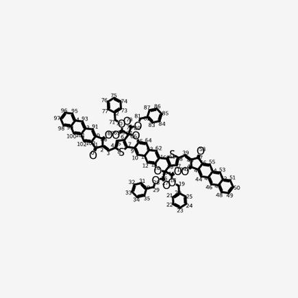 O=C1C(=Cc2cc3c(s2)C2=CC4C=C5OC(C(=O)OCc6ccccc6)(C(=O)OCc6ccccc6)c6cc(C=C7C(=O)c8cc9cc%10ccccc%10cc9cc8C7=O)sc6C5=CC4C=C2OC3(C(=O)OCc2ccccc2)C(=O)OCc2ccccc2)C(=O)c2cc3cc4ccccc4cc3cc21